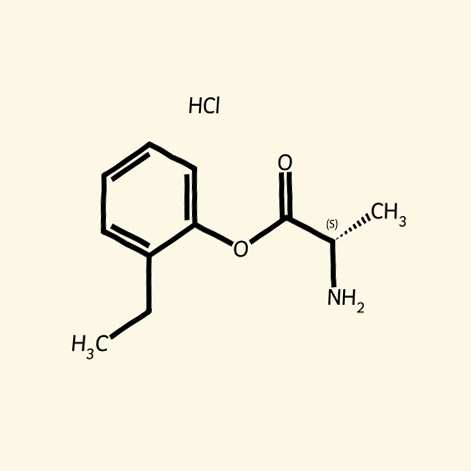 CCc1ccccc1OC(=O)[C@H](C)N.Cl